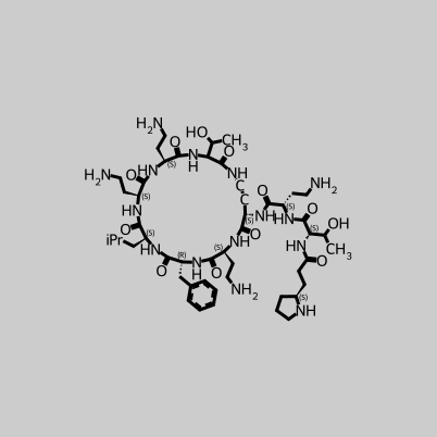 CC(C)C[C@@H]1NC(=O)[C@@H](Cc2ccccc2)NC(=O)[C@H](CCN)NC(=O)[C@@H](NC(=O)[C@H](CCN)NC(=O)[C@@H](NC(=O)CC[C@@H]2CCCN2)C(C)O)CCNC(=O)C(C(C)O)NC(=O)[C@H](CCN)NC(=O)[C@H](CCN)NC1=O